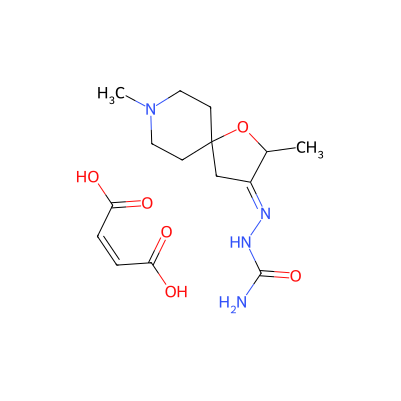 CC1OC2(CCN(C)CC2)CC1=NNC(N)=O.O=C(O)/C=C\C(=O)O